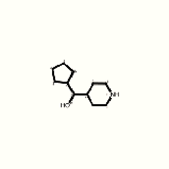 OC(C1CCCC1)C1CCNCC1